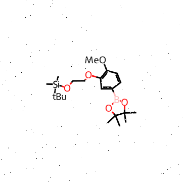 COc1ccc(B2OC(C)(C)C(C)(C)O2)cc1OCCO[Si](C)(C)C(C)(C)C